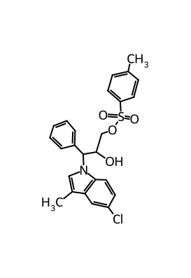 Cc1ccc(S(=O)(=O)OCC(O)C(c2ccccc2)n2cc(C)c3cc(Cl)ccc32)cc1